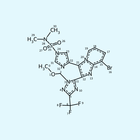 COCn1nc(C(F)(F)F)nc1-c1nc2c(Br)cccn2c1-c1cn(S(=O)(=O)N(C)C)cn1